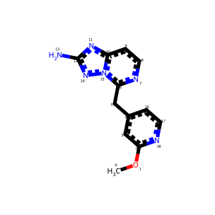 COc1cc(Cc2nccc3nc(N)nn23)ccn1